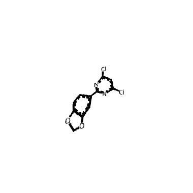 Clc1cc(Cl)nc(-c2ccc3c(c2)OCO3)n1